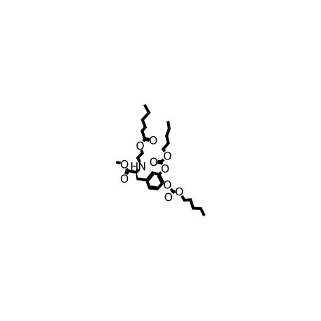 CCCCCOC(=O)Oc1ccc(C[C@H](NCCOC(=O)CCCCC)C(=O)OC)cc1OC(=O)OCCCCC